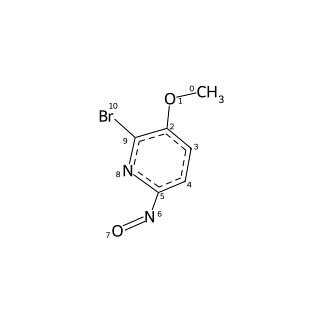 COc1ccc(N=O)nc1Br